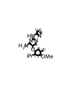 COc1cc(C(C)C)c(Oc2cnc(Nc3cscn3)nc2N)cc1I